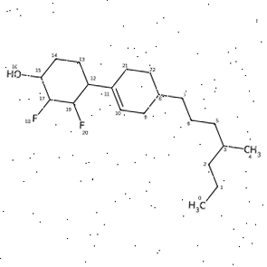 CCCC(C)CCCC1CC=C(C2CCC(O)C(F)C2F)CC1